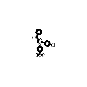 CS(=O)(=O)c1ccc(-n2cc(C(=O)c3ccccc3)nc2-c2ccc(Cl)cc2)cc1